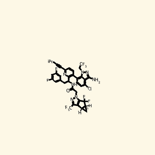 CC(C)C#Cc1ccc(-c2ccc(Cl)c3c(N)nn(CC(F)(F)F)c23)c(C(Cc2cc(F)cc(F)c2)NC(=O)Cn2nc(C(F)(F)F)c3c2C(F)(F)[C@@H]2C[C@H]32)n1